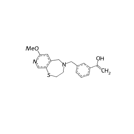 C=C(O)c1cccc(CN2CCSc3cnc(OC)cc3C2)c1